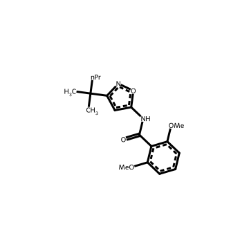 CCCC(C)(C)c1cc(NC(=O)c2c(OC)cccc2OC)on1